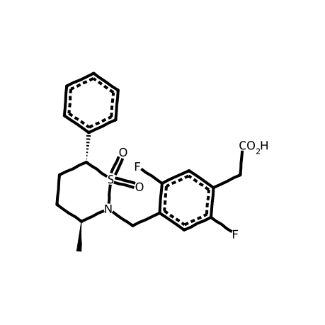 C[C@H]1CC[C@H](c2ccccc2)S(=O)(=O)N1Cc1cc(F)c(CC(=O)O)cc1F